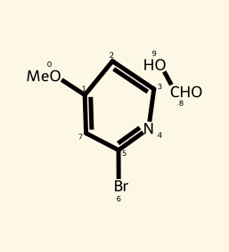 COc1ccnc(Br)c1.O=CO